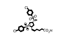 CN([C@@H]1C[C@@H](/C=C\CCCC(=O)O)N(S(=O)(=O)c2ccc(Cl)cc2)C1)S(=O)(=O)c1ccc(Cl)cc1